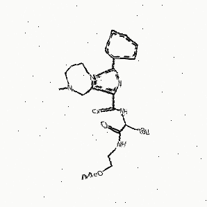 COCCNC(=O)C(NC(=O)c1nc(-c2ccccc2)n2c1CN(C)CCC2)C(C)(C)C